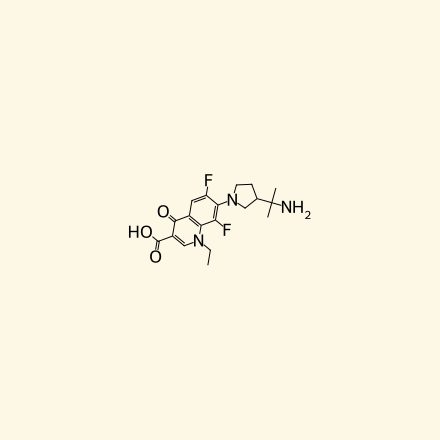 CCn1cc(C(=O)O)c(=O)c2cc(F)c(N3CCC(C(C)(C)N)C3)c(F)c21